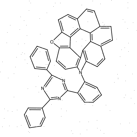 c1ccc(-c2nc(-c3ccccc3)nc(-c3ccccc3-n3c4ccc5ccc6ccc7ccc8oc9ccc3c3c9c8c7c6c5c34)n2)cc1